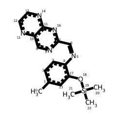 Cc1ccc(/N=C\c2ncc3nccnc3n2)c(O[Si](C)(C)C)c1